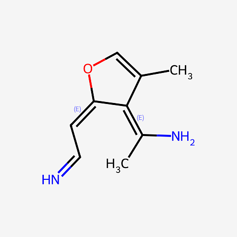 C/C(N)=c1/c(C)co/c1=C/C=N